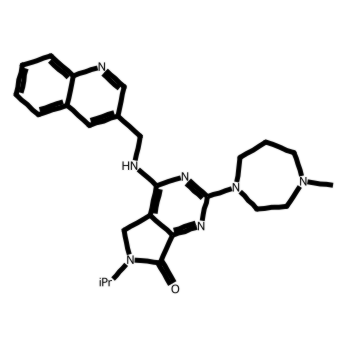 CC(C)N1Cc2c(NCc3cnc4ccccc4c3)nc(N3CCCN(C)CC3)nc2C1=O